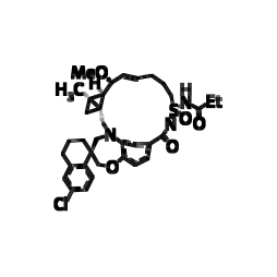 CCC(=O)N[S@]1(=O)=NC(=O)c2ccc3c(c2)N(C[C@@]2(CCCc4cc(Cl)ccc42)CO3)C[C@]23C[C@@]2(C)[C@H]3[C@@H](OC)/C=C/CCC1